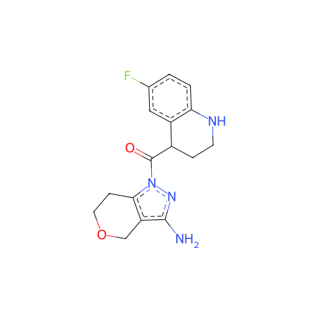 Nc1nn(C(=O)C2CCNc3ccc(F)cc32)c2c1COCC2